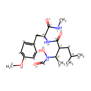 CNC(=O)[C@H](Cc1ccc(OC)cc1)NC(=O)C(CC(C)C)C(C)N(O)C=O